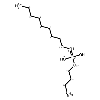 CCCCCCCCO[SH]=P(O)(O)OCCCC